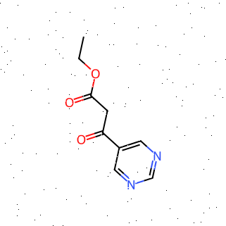 CCOC(=O)CC(=O)c1cncnc1